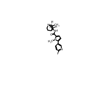 C[C@H]1[C@H](NC(=O)c2ccc(-c3ccc(F)nc3)n2C)C2CCN1CC2